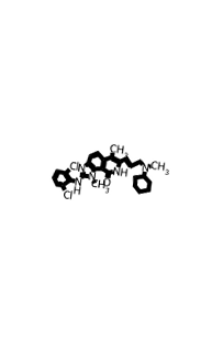 Cc1c(C=CCN(C)C2CCCCC2)[nH]c(=O)c2c1ccc1nc(Nc3c(Cl)cccc3Cl)n(C)c12